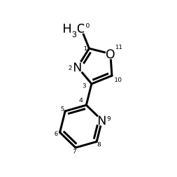 Cc1nc(-c2ccccn2)co1